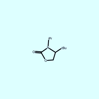 CC(C)N1C(=O)OCC1C(C)(C)C